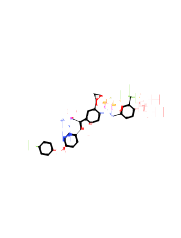 CNC(=O)c1c(-c2ccc(Oc3ccc(F)cc3)cc2)oc2cc(N(Cc3ccc(B(O)O)c(C(F)(F)F)c3)S(C)(=O)=O)c(C3CC3)cc12